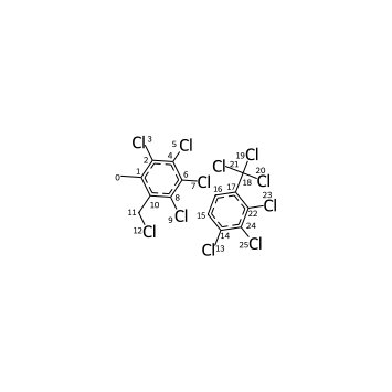 Cc1c(Cl)c(Cl)c(Cl)c(Cl)c1CCl.Clc1ccc(C(Cl)(Cl)Cl)c(Cl)c1Cl